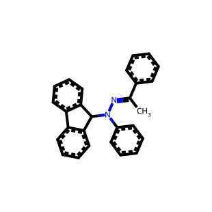 CC(=NN(c1ccccc1)C1c2ccccc2-c2ccccc21)c1ccccc1